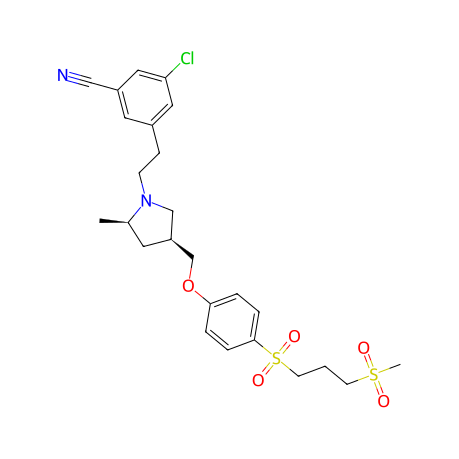 C[C@@H]1C[C@H](COc2ccc(S(=O)(=O)CCCS(C)(=O)=O)cc2)CN1CCc1cc(Cl)cc(C#N)c1